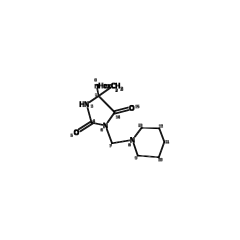 CCCCCCC1(C)NC(=O)N(CN2CCCCC2)C1=O